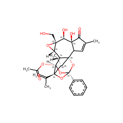 C=C(C)[C@@]12O[C@@]3(c4ccccc4)O[C@@H]1[C@@H]1[C@@H]4O[C@]4(CO)[C@@H](O)[C@]4(O)C(=O)C(C)=CC4[C@@]1(O3)[C@H](C)[C@H]2OC(C)=O